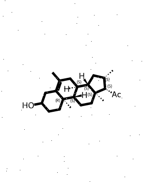 CC(=O)[C@H]1[C@@H](C)C[C@H]2[C@@H]3CC(C)=C4CC(O)CC[C@]4(C)[C@H]3CC[C@@]21C